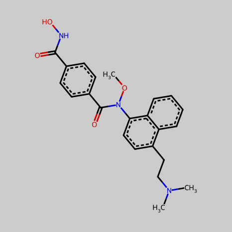 CON(C(=O)c1ccc(C(=O)NO)cc1)c1ccc(CCN(C)C)c2ccccc12